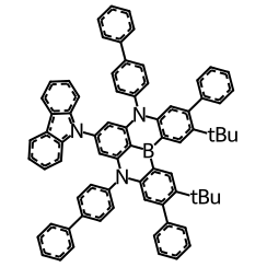 CC(C)(C)c1cc2c(cc1-c1ccccc1)N(c1ccc(-c3ccccc3)cc1)c1cc(-n3c4ccccc4c4ccccc43)cc3c1B2c1cc(C(C)(C)C)c(-c2ccccc2)cc1N3c1ccc(-c2ccccc2)cc1